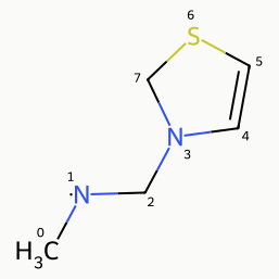 C[N]CN1C=CSC1